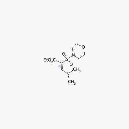 CCOC(=O)/C(=C/N(C)C)S(=O)(=O)N1CCOCC1